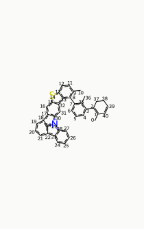 CC1=C(c2cccc(-c3c(C)ccc4sc5cc6c7cccc8c9ccccc9n(c6cc5c34)c87)c2C)CCC=C1